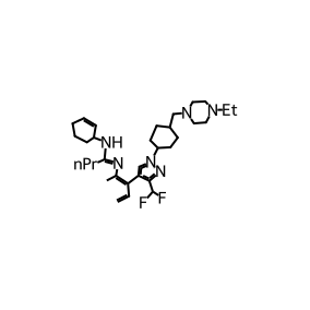 C=C/C(=C(C)/N=C(\CCC)NC1C=CCCC1)c1cn(C2CCC(CN3CCN(CC)CC3)CC2)nc1C(F)F